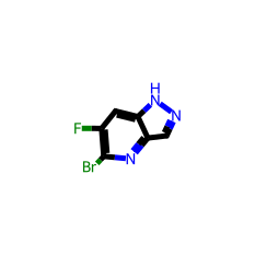 Fc1cc2[nH]ncc2nc1Br